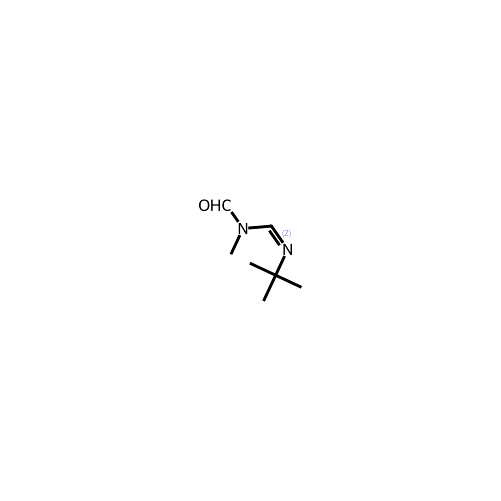 CN(C=O)/C=N\C(C)(C)C